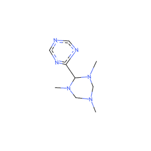 CN1CN(C)C(c2ncncn2)N(C)C1